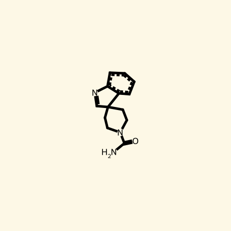 NC(=O)N1CCC2(C=Nc3ccccc32)CC1